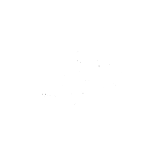 COC(=O)C1(C)CC2CC(C)(C(=O)O)CC(c3ccccc3)(C2)C1